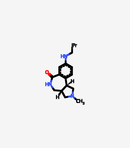 CC(C)CNc1ccc2c(c1)C(=O)NC[C@H]1CN(C)C[C@H]21